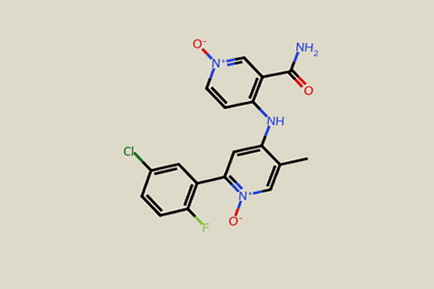 Cc1c[n+]([O-])c(-c2cc(Cl)ccc2F)cc1Nc1cc[n+]([O-])cc1C(N)=O